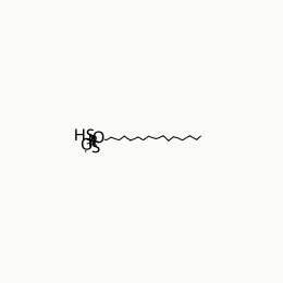 CCCCCCCCCCCCCCCCOP(=S)(S)OC